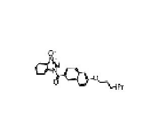 CC(C)CCCOc1ccc2cc(C(=O)n3n[n+]([O-])c4ccccc43)ccc2c1